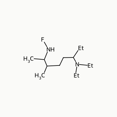 CCC(CCC(C)C(C)NF)N(CC)CC